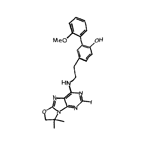 COc1ccccc1-c1cc(CCNc2nc(I)nc3c2nc2n3C(C)(C)CO2)ccc1O